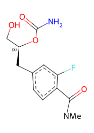 CNC(=O)c1ccc(C[C@@H](CO)OC(N)=O)cc1F